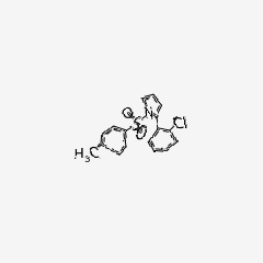 Cc1ccc(S(=O)(=O)n2cccc2-c2ccccc2Cl)cc1